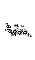 N#CCOc1ccc(-c2cnc3c(Nc4ccc(C(=O)N5CCN(C(=O)[C@@H]6C[C@@H](O)CN6)CC5)c(Cl)c4)nccn23)c(Cl)c1F.O=CO